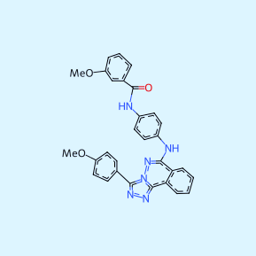 COc1ccc(-c2nnc3c4ccccc4c(Nc4ccc(NC(=O)c5cccc(OC)c5)cc4)nn23)cc1